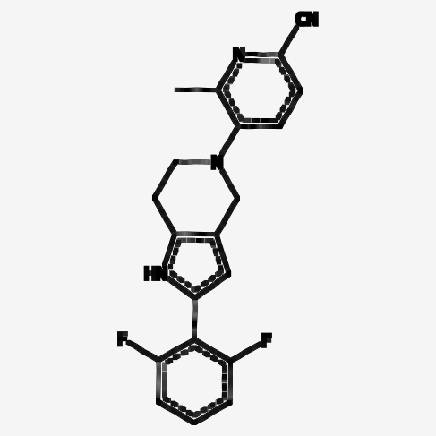 Cc1nc(C#N)ccc1N1CCc2[nH]c(-c3c(F)cccc3F)cc2C1